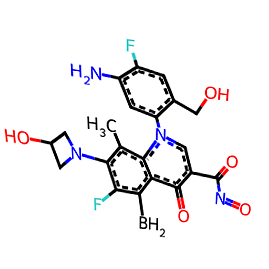 Bc1c(F)c(N2CC(O)C2)c(C)c2c1c(=O)c(C(=O)N=O)cn2-c1cc(N)c(F)cc1CO